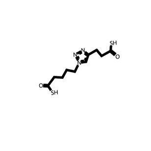 O=C(S)CCCCn1cc(CCC(=O)S)nn1